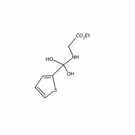 CCOC(=O)CNC(O)(O)c1cccs1